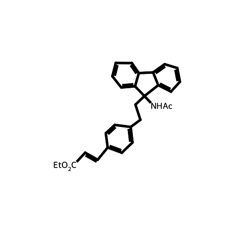 CCOC(=O)C=Cc1ccc(CCC2(NC(C)=O)c3ccccc3-c3ccccc32)cc1